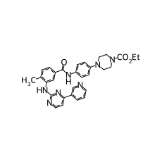 CCOC(=O)N1CCN(c2ccc(NC(=O)c3ccc(C)c(Nc4nccc(-c5cccnc5)n4)c3)cc2)CC1